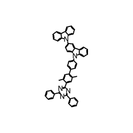 Cc1cc(-c2nc(-c3ccccc3)nc(-c3ccccc3)n2)c(C)cc1-c1ccc(-n2c3ccccc3c3cc(-n4c5ccccc5c5ccccc54)ccc32)cc1